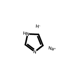 [H-].[Na+].c1c[nH]cn1